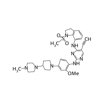 C#Cc1cnc(Nc2ccc(N3CCC(N4CCN(C)CC4)CC3)cc2OC)nc1Nc1cccc2c1N(S(C)(=O)=O)CC2